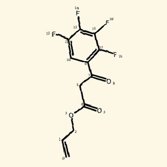 C=CCOC(=O)CC(=O)c1cc(F)c(F)c(F)c1F